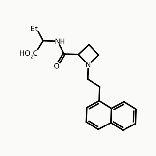 CCC(NC(=O)C1CCN1CCc1cccc2ccccc12)C(=O)O